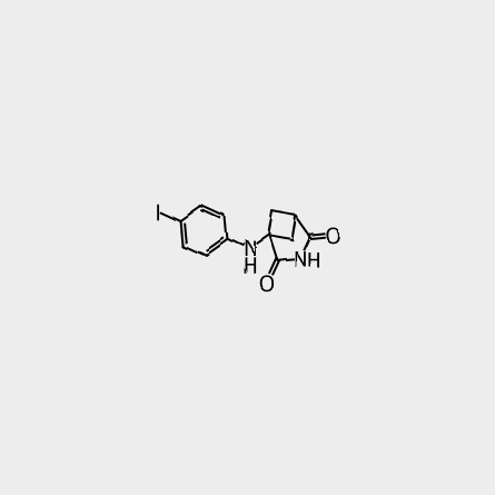 O=C1NC(=O)C2(Nc3ccc(I)cc3)CC1C2